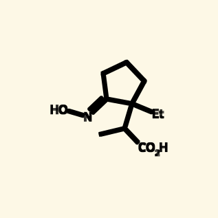 CCC1(C(C)C(=O)O)CCCC1=NO